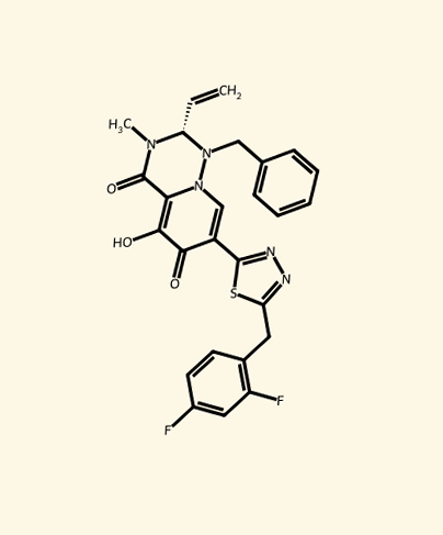 C=C[C@H]1N(C)C(=O)c2c(O)c(=O)c(-c3nnc(Cc4ccc(F)cc4F)s3)cn2N1Cc1ccccc1